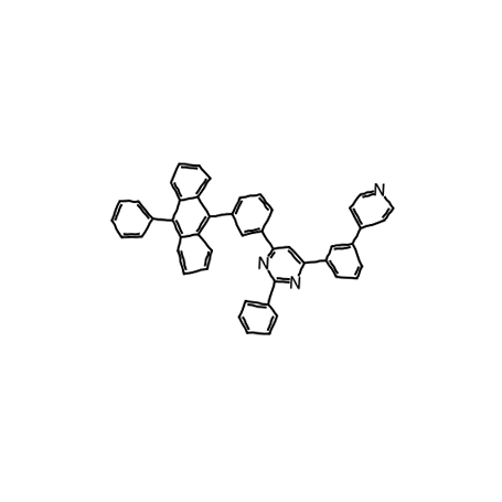 c1ccc(-c2nc(-c3cccc(-c4ccncc4)c3)cc(-c3cccc(-c4c5ccccc5c(-c5ccccc5)c5ccccc45)c3)n2)cc1